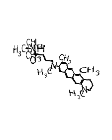 Cc1cc2cc3c(C)c4c(cc3cc2cc1N(C)CCCC(=O)NC(C)(C)C)N(C)CCC4